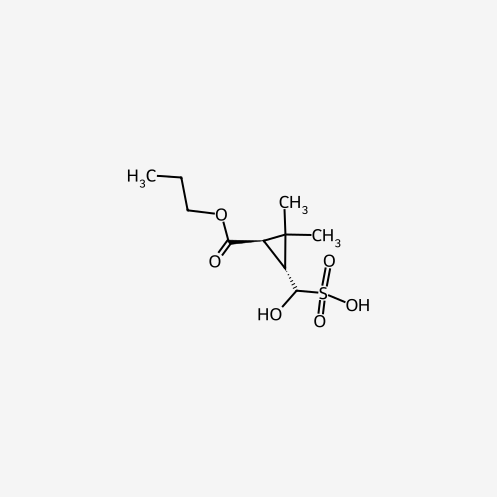 CCCOC(=O)[C@@H]1[C@@H](C(O)S(=O)(=O)O)C1(C)C